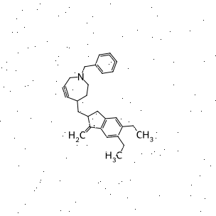 C=C1c2cc(CC)c(CC)cc2CC1CC1C#CCN(CC2=CC=C=C=C2)CC1